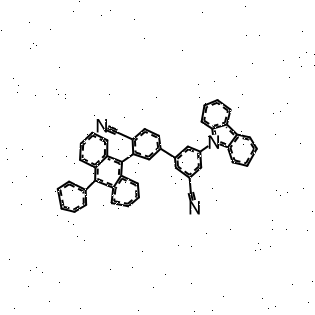 N#Cc1cc(-c2ccc(C#N)c(-c3c4ccccc4c(-c4ccccc4)c4ccccc34)c2)cc(-n2c3ccccc3c3ccccc32)c1